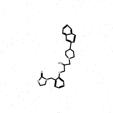 O=C1OCCN1Cc1ccccc1OCC(O)CN1CCC(c2ccc3ccccc3c2)CC1